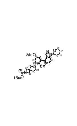 COc1cc(-c2c(C)ccc3c2cnn3C2CCCCO2)c(C#N)c(N2CCC3(CN(C(=O)OC(C)(C)C)C3)C2)c1